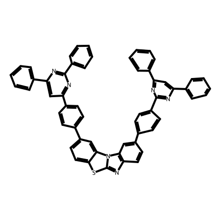 c1ccc(-c2cc(-c3ccc(-c4ccc5sc6nc7ccc(-c8ccc(-c9nc(-c%10ccccc%10)cc(-c%10ccccc%10)n9)cc8)cc7n6c5c4)cc3)nc(-c3ccccc3)n2)cc1